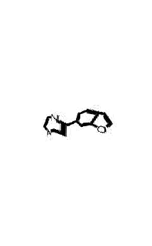 c1cnc(-c2ccc3ccoc3c2)cn1